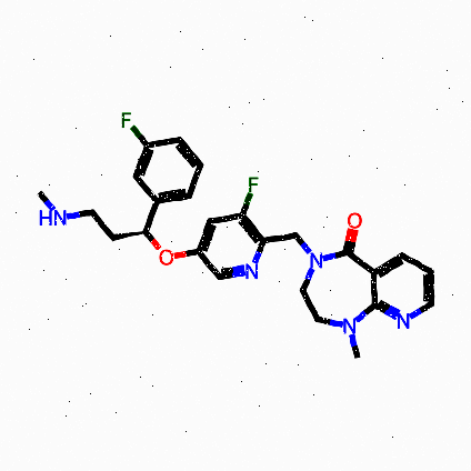 CNCC[C@H](Oc1cnc(CN2CCN(C)c3ncccc3C2=O)c(F)c1)c1cccc(F)c1